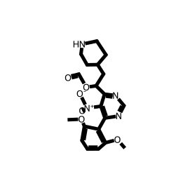 COc1cccc(OC)c1-c1ncnc(C(CC2CCNCC2)OC=O)c1[N+](=O)[O-]